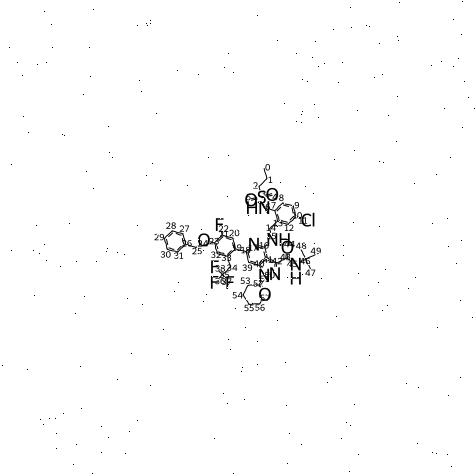 CCCS(=O)(=O)Nc1ccc(Cl)cc1CNc1nc(-c2cc(F)c(OCc3ccccc3)cc2CC(F)(F)F)cc2c1c(C(=O)NC(C)(C)C)nn2C1CCCCO1